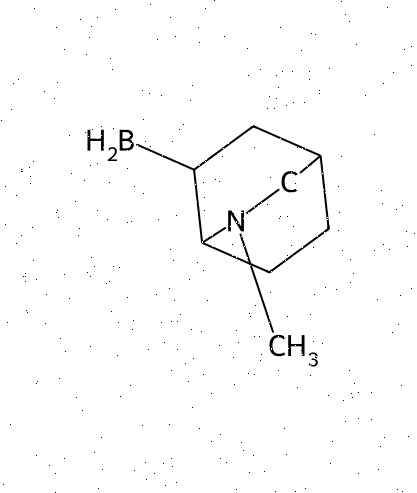 BC1CC2CCC1N(C)C2